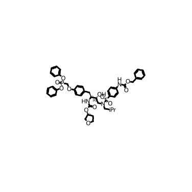 CC(C)CN(C[C@@H](O)[C@H](Cc1ccc(OCP(=O)(Oc2ccccc2)Oc2ccccc2)cc1)NC(=O)O[C@H]1CCOC1)S(=O)(=O)c1ccc(NC(=O)OCc2ccccc2)cc1